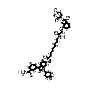 CN1C(=O)CCC(N2Cc3c(OCC(=O)NCCCCCCCCC(=O)Nc4ccc5c(-c6cccc(C(N)=S)c6)cn(C6CCC(F)(F)CC6)c5c4)cccc3C2=O)C1=O